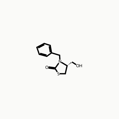 O=C1SC[C@@H](CO)N1Cc1ccccc1